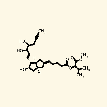 CC#CCC(C)[C@H](O)C=C[C@@H]1[C@H]2CC(=CCCCC(=O)OC(C(=O)OC)C(C)C)C[C@H]2C[C@H]1O